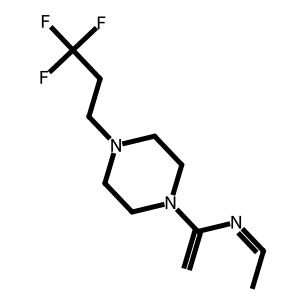 C=C(/N=C\C)N1CCN(CCC(F)(F)F)CC1